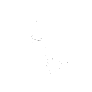 Nc1nc(C(=O)O)c(CCc2cccc(Cl)c2)s1